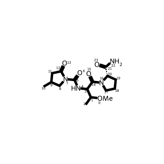 COC(C)C(NC(=O)N1CC(C)CC1=O)C(=O)N1CCC[C@H]1C(N)=O